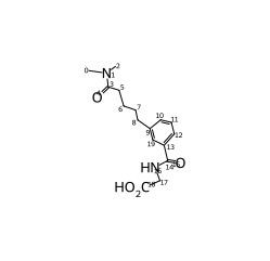 CN(C)C(=O)CCCCc1cccc(C(=O)NCC(=O)O)c1